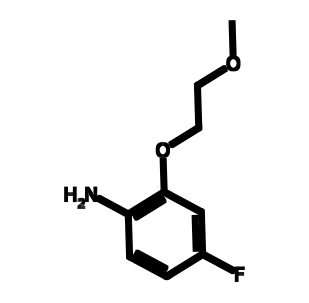 COCCOc1cc(F)ccc1N